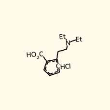 CCN(CC)CCc1ccccc1C(=O)O.Cl